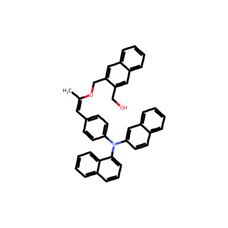 CC(=Cc1ccc(N(c2ccc3ccccc3c2)c2cccc3ccccc23)cc1)OCc1cc2ccccc2cc1CO